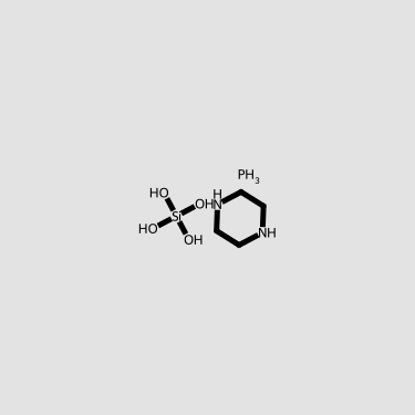 C1CNCCN1.O[Si](O)(O)O.P